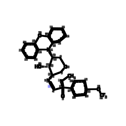 CN=S(=O)(/C=N\[C@@H]1COC[C@H](N2c3ccccc3Oc3ccccc32)[C@H]1O)c1ccc(OC(F)(F)F)cc1